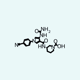 N#Cc1ccc(-n2cc(NC(N)=O)c(C(=O)N[C@H]3CCCN(C(=O)O)C3)c2)cc1